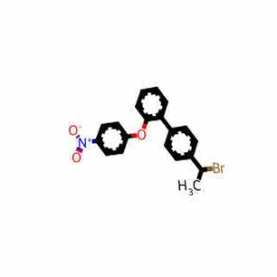 CC(Br)c1ccc(-c2ccccc2Oc2ccc([N+](=O)[O-])cc2)cc1